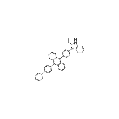 CCC1NC2=C(CCC=C2)N1c1ccc(-c2c3c(c(-c4ccc(C5C=CC=CC5)cc4)c4ccccc24)CCC=C3)cc1